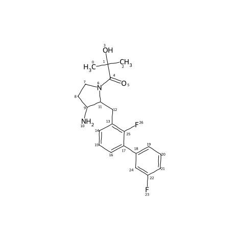 CC(C)(O)C(=O)N1CCC(N)C1Cc1cccc(-c2cccc(F)c2)c1F